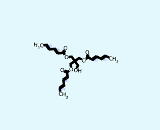 C/C=C/C=C/C(=O)OCC(CO)(COC(=O)/C=C/C=C/C)COC(=O)/C=C/C=C/C